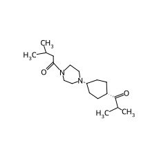 CC(C)CC(=O)N1CCN([C@H]2CC[C@@H](C(=O)C(C)C)CC2)CC1